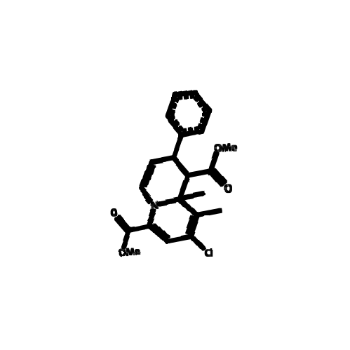 COC(=O)C1=CC(Cl)=C(C)C2(C)C(C(=O)OC)C(c3ccccc3)C=CN12